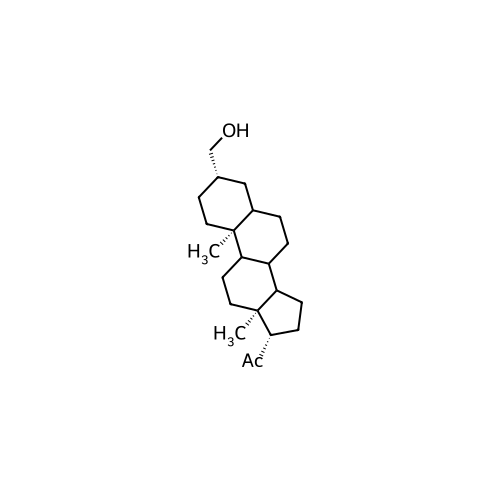 CC(=O)[C@H]1CCC2C3CCC4C[C@@H](CO)CC[C@]4(C)C3CC[C@@]21C